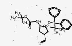 CC(C)(C)OC(=O)N[C@@H]1C[C@@H](C=O)C[C@H]1O[Si](c1ccccc1)(c1ccccc1)C(C)(C)C